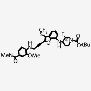 CNC(=O)c1ccc(NCC#Cc2oc3c(N[C@@H]4CCN(C(=O)OC(C)(C)C)C[C@@H]4F)cccc3c2SC(F)(F)F)c(OC)c1